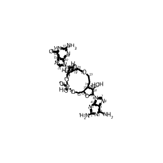 Nc1nc(N)c2ncn([C@@H]3OC4COP(=O)(O)O[C@@H]5[C@H](O)C(OCC[C@H]4[C@H]3O)O[C@H]5n3cnc4c(=O)[nH]c(N)nc43)c2n1